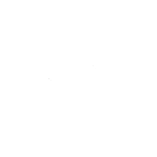 CCN1CCC(CN2CCC(C)(C)CC2)CC1